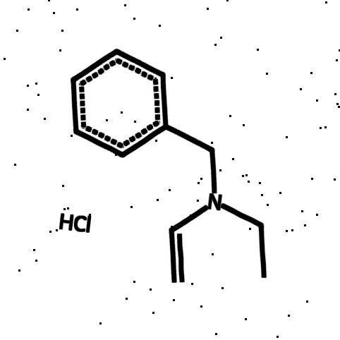 C=CN(CC)Cc1ccccc1.Cl